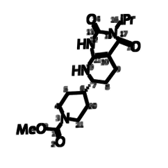 COC(=O)N1CCC([C@H]2CCc3c([nH]c(=O)n(C(C)C)c3=O)N2)CC1